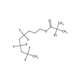 CCC(C)(C)C(=O)OCCCC(F)(F)CC(F)(F)CC(C)(F)F